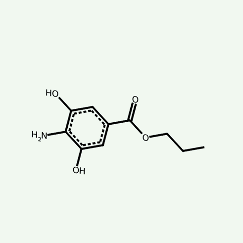 CCCOC(=O)c1cc(O)c(N)c(O)c1